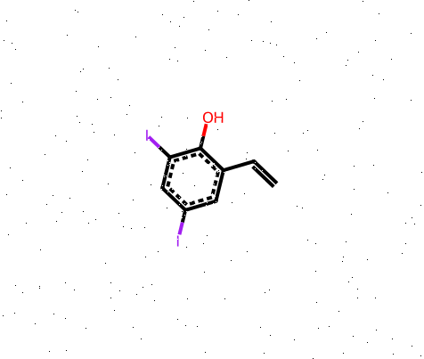 C=Cc1cc(I)cc(I)c1O